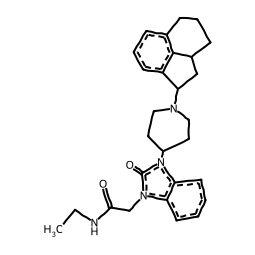 CCNC(=O)Cn1c(=O)n(C2CCN(C3CC4CCCc5cccc3c54)CC2)c2ccccc21